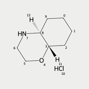 C1CC[C@@H]2OCCN[C@H]2C1.Cl